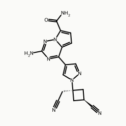 N#CC[C@]1(n2cc(-c3nc(N)nn4c(C(N)=O)ccc34)cn2)C[C@@H](C#N)C1